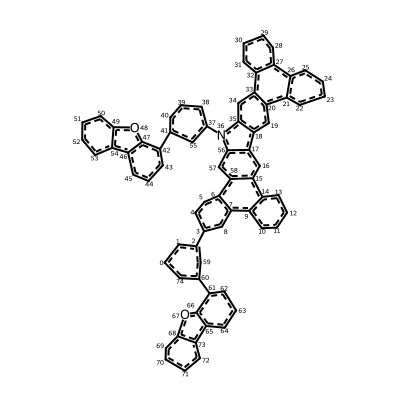 c1cc(-c2ccc3c(c2)c2ccccc2c2cc4c5cc6c7ccccc7c7ccccc7c6cc5n(-c5cccc(-c6cccc7c6oc6ccccc67)c5)c4cc32)cc(-c2cccc3c2oc2ccccc23)c1